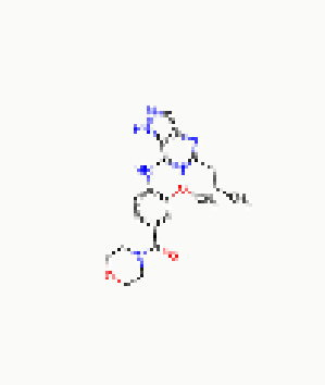 CCCc1nc(Nc2ccc(C(=O)N3CCOCC3)cc2OC)c2[nH]ncc2n1